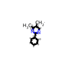 [CH2]c1cnc(-c2ccccc2)nc1C